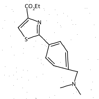 CCOC(=O)c1csc(-c2ccc(CN(C)C)cc2)n1